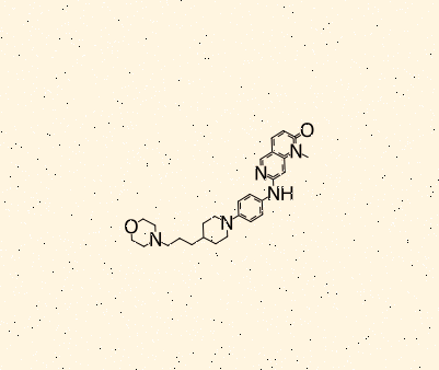 Cn1c(=O)ccc2cnc(Nc3ccc(N4CCC(CCCN5CCOCC5)CC4)cc3)cc21